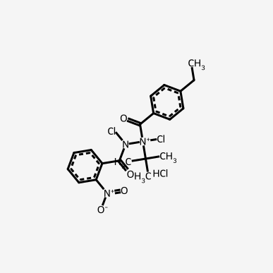 CCc1ccc(C(=O)[N+](Cl)(N(Cl)C(=O)c2ccccc2[N+](=O)[O-])C(C)(C)C)cc1.Cl